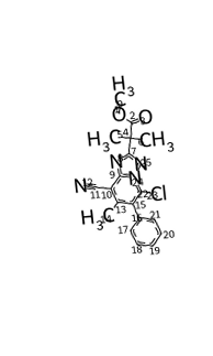 COC(=O)C(C)(C)c1nc2c(C#N)c(C)c(-c3ccccc3)c(Cl)n2n1